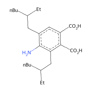 CCCCC(CC)Cc1cc(C(=O)O)c(C(=O)O)c(CC(CC)CCCC)c1N